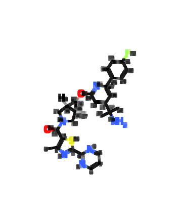 Cc1nc(-c2ncccn2)sc1C(=O)N1C[C@H]2[C@H](Oc3cc(C(C)(C)N)cc(-c4ccc(F)cc4)n3)[C@@]2(C)C1